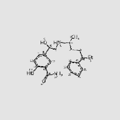 CCN(CCC(C)NCC(O)c1ccc(O)c(C(N)=O)c1)c1ccccc1